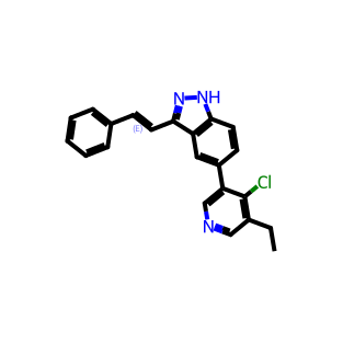 CCc1cncc(-c2ccc3[nH]nc(/C=C/c4ccccc4)c3c2)c1Cl